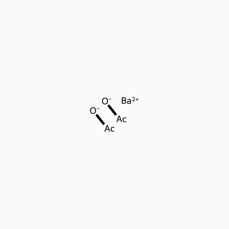 CC(=O)[O-].CC(=O)[O-].[Ba+2]